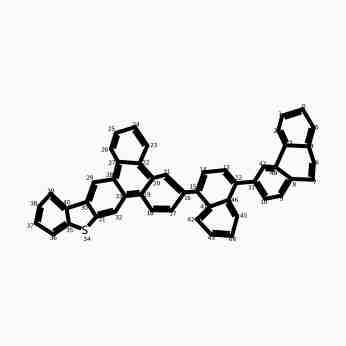 c1ccc2c(c1)ccc1ccc(-c3ccc(-c4ccc5c(c4)c4ccccc4c4cc6c(cc54)sc4ccccc46)c4ccccc34)cc12